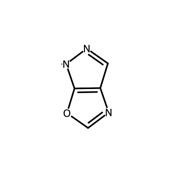 C1=N[N]c2ocnc21